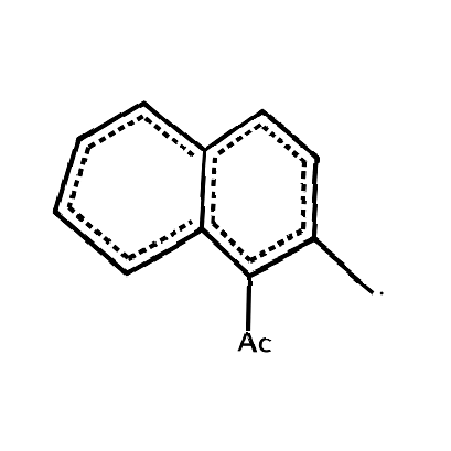 [CH2]c1ccc2ccccc2c1C(C)=O